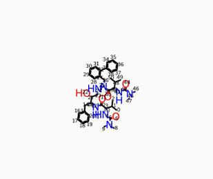 CC(C)[C@H](NC(=O)N(C)C)C(=O)N[C@@H](Cc1ccccc1)C(O)CNN(Cc1ccccc1-c1ccccc1)C(=O)[C@@H](NC(=O)N(C)C)C(C)C